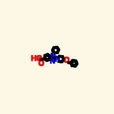 O=C(O)c1ccc2c(c1)nc(N1CCC(OCc3ccccc3)CC1)n2C1CCCCC1